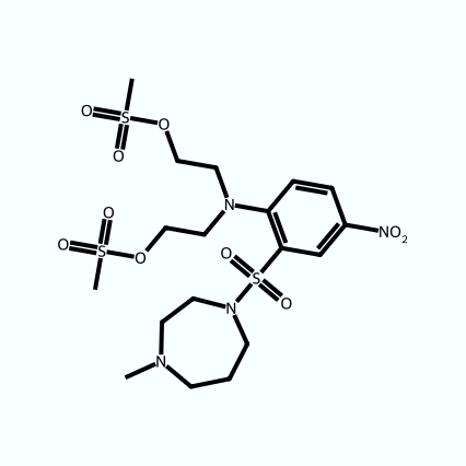 CN1CCCN(S(=O)(=O)c2cc([N+](=O)[O-])ccc2N(CCOS(C)(=O)=O)CCOS(C)(=O)=O)CC1